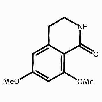 COc1cc2c(c(OC)c1)C(=O)NCC2